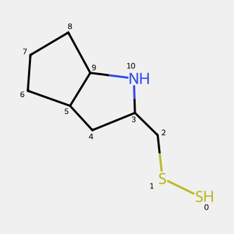 SSCC1CC2CCCC2N1